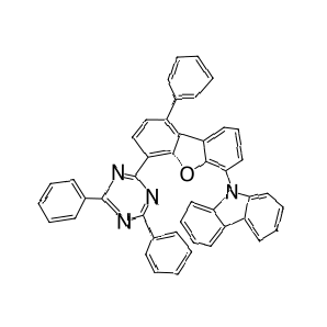 c1ccc(-c2nc(-c3ccccc3)nc(-c3ccc(-c4ccccc4)c4c3oc3c(-n5c6ccccc6c6ccccc65)cccc34)n2)cc1